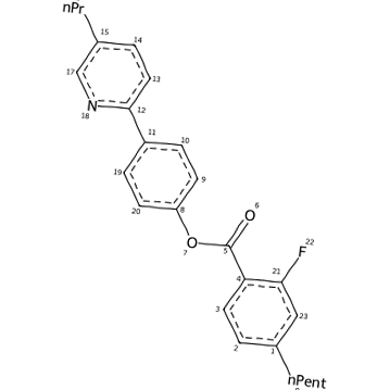 CCCCCc1ccc(C(=O)Oc2ccc(-c3ccc(CCC)cn3)cc2)c(F)c1